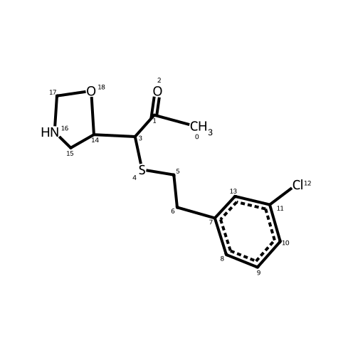 CC(=O)C(SCCc1cccc(Cl)c1)C1CNCO1